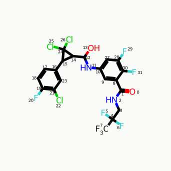 O=C(NCC(F)(F)C(F)(F)F)c1cc(NC(O)C2C(c3ccc(F)c(Cl)c3)C2(Cl)Cl)cc(F)c1F